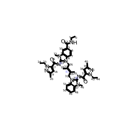 CCNC(=O)c1ccc2c(c1)n(C)/c(=N\C(=O)c1cc(C)nn1CC)n2C/C(C)=C(\C)Cn1/c(=N/C(=O)c2cc(C)nn2CC)n(C)c2ccccc21